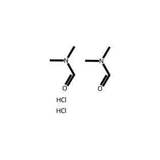 CN(C)C=O.CN(C)C=O.Cl.Cl